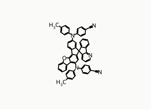 Cc1ccc(N(c2ccc(C#N)cc2)c2ccc3c(c2)C2(c4ccccc4-c4ncccc42)c2cc(N(c4ccc(C)cc4)c4ccc(C#N)cc4)c4c(oc5ccccc54)c2-3)cc1